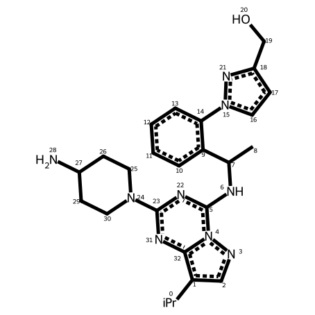 CC(C)c1cnn2c(NC(C)c3ccccc3-n3ccc(CO)n3)nc(N3CCC(N)CC3)nc12